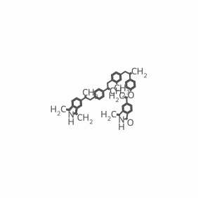 C=C(Cc1ccc(CC(=C)c2ccc(CC(=C)c3ccc4c(=C)[nH]c(=C)c4c3)cc2)c(C)c1)c1ccc(OC(=C)c2ccc3c(c2)C(=C)NC3=O)cc1